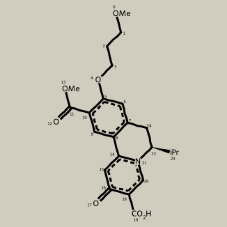 COCCCOc1cc2c(cc1C(=O)OC)-c1cc(=O)c(C(=O)O)cn1[C@H](C(C)C)C2